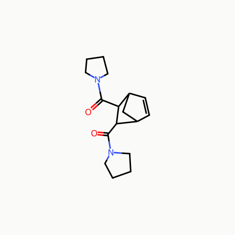 O=C(C1C2C=CC(C2)C1C(=O)N1CCCC1)N1CCCC1